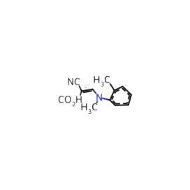 Cc1ccccc1N(C)/C=C(/C#N)C(=O)O